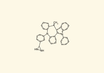 C=C1c2ccccc2N(c2cccc(C3NN3)c2)c2ccccc2-c2c1c1ccccc1n2-c1ccccc1